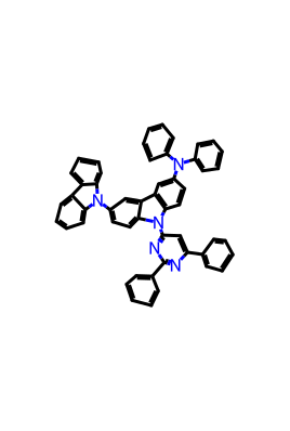 c1ccc(-c2cc(-n3c4ccc(N(c5ccccc5)c5ccccc5)cc4c4cc(-n5c6ccccc6c6ccccc65)ccc43)nc(-c3ccccc3)n2)cc1